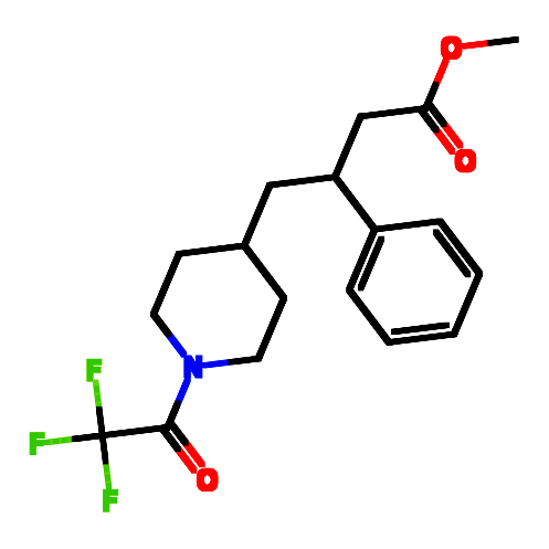 COC(=O)CC(CC1CCN(C(=O)C(F)(F)F)CC1)c1ccccc1